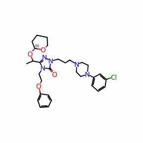 CC(O[C@H]1CCCCO1)c1nn(CCCN2CCN(c3cccc(Cl)c3)CC2)c(=O)n1CCOc1ccccc1